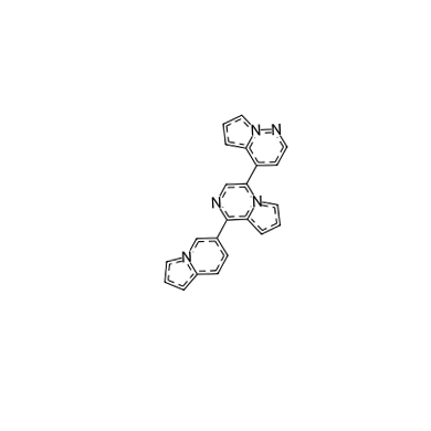 c1cc2ccc(-c3ncc(-c4ccnn5cccc45)n4cccc34)cn2c1